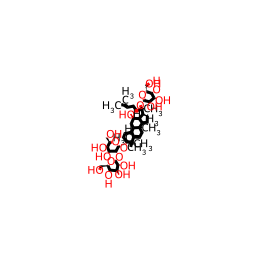 CC(C)=CCC[C@](C)(O[C@@H]1O[C@H](CO)[C@@H](O)[C@H](O)[C@H]1O)[C@H]1CC[C@]2(C)[C@@H]1[C@H](O)C[C@@H]1[C@@]3(C)CC[C@H](O[C@@H]4O[C@H](CO)[C@@H](O)[C@H](O)[C@H]4O[C@@H]4O[C@H](CO)[C@@H](O)[C@H](O)[C@H]4O)C(C)(C)C3=CC[C@]12C